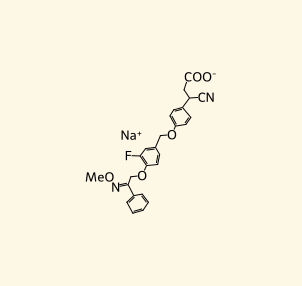 CO/N=C(\COc1ccc(COc2ccc(C(C#N)CC(=O)[O-])cc2)cc1F)c1ccccc1.[Na+]